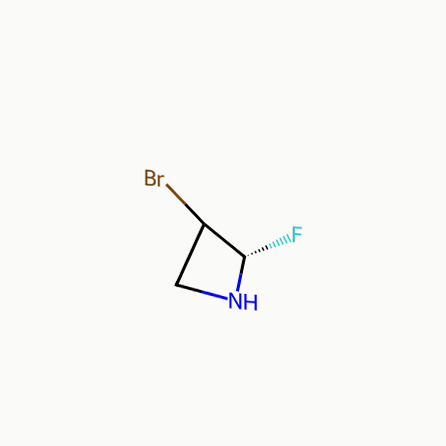 F[C@@H]1NCC1Br